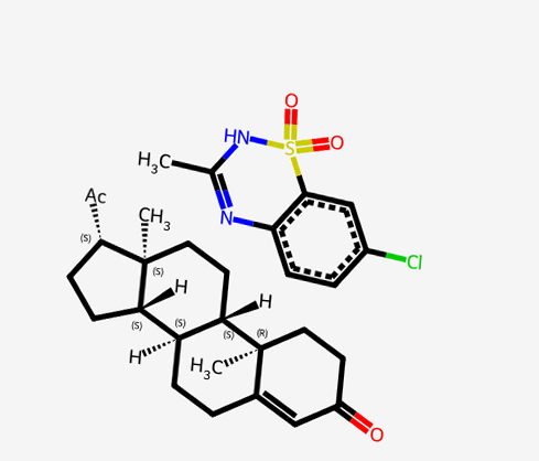 CC(=O)[C@H]1CC[C@H]2[C@@H]3CCC4=CC(=O)CC[C@]4(C)[C@H]3CC[C@]12C.CC1=Nc2ccc(Cl)cc2S(=O)(=O)N1